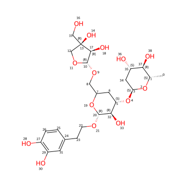 C[C@@H]1O[C@@H](O[C@H]2CC(CO[C@@H]3OC[C@](O)(CO)[C@H]3O)O[C@@H](OCCc3ccc(O)c(O)c3)[C@@H]2O)C[C@H](O)[C@H]1O